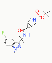 Cn1nc(C(C)(C)NC(=O)C2C3CN(C(=O)OC(C)(C)C)CC32)c2cc(F)ccc21